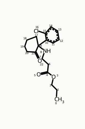 CCCOC(=O)CCNC1(c2ccccc2Cl)CCCCC1=O